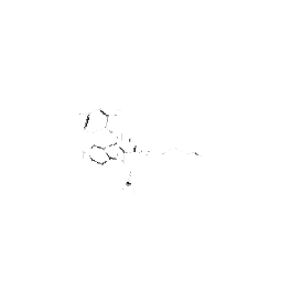 C#CCn1c(C(=O)NOCCOC=C)c(NC2CC=C(I)C=C2F)c2cnccc21